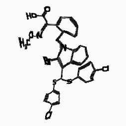 CON=C(C(=O)O)c1ccccc1Cn1c(Br)c(C(Sc2ccc(Cl)cc2)Sc2ccc(Cl)cc2)c2ccccc21